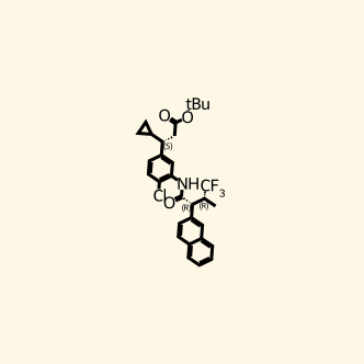 C[C@H]([C@@H](C(=O)Nc1cc([C@@H](CC(=O)OC(C)(C)C)C2CC2)ccc1Cl)c1ccc2ccccc2c1)C(F)(F)F